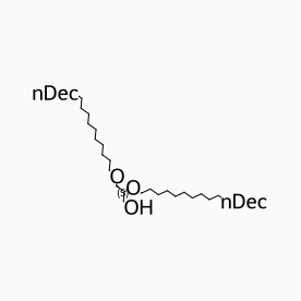 CCCCCCCCCCCCCCCCCCCCOC[C@H](CO)OCCCCCCCCCCCCCCCCCCCC